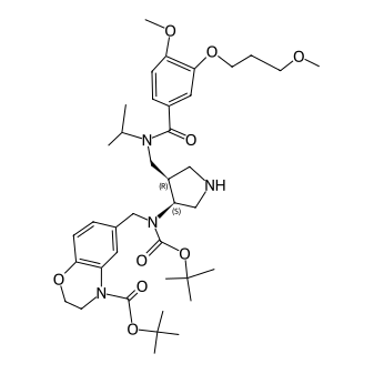 COCCCOc1cc(C(=O)N(C[C@H]2CNC[C@H]2N(Cc2ccc3c(c2)N(C(=O)OC(C)(C)C)CCO3)C(=O)OC(C)(C)C)C(C)C)ccc1OC